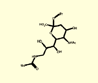 CCC(C)C(=O)NCC(O)C(O)C1OC(OC(C)C)(C(=O)O)CC(O)C1NC(C)=O